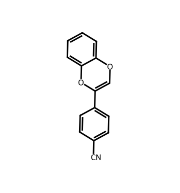 N#Cc1ccc(C2=COc3ccccc3O2)cc1